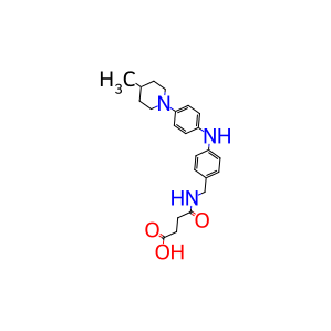 CC1CCN(c2ccc(Nc3ccc(CNC(=O)CCC(=O)O)cc3)cc2)CC1